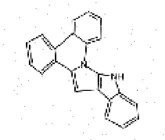 c1ccc2c(c1)[nH]c1c2cc2c3ccccc3c3ccccc3n21